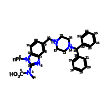 CCCn1c(N(C)C(=O)O)nc2cc(CN3CCN(C(c4ccccc4)c4ccccc4)CC3)ccc21